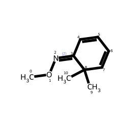 CO/N=C1/C=CC=CC1(C)C